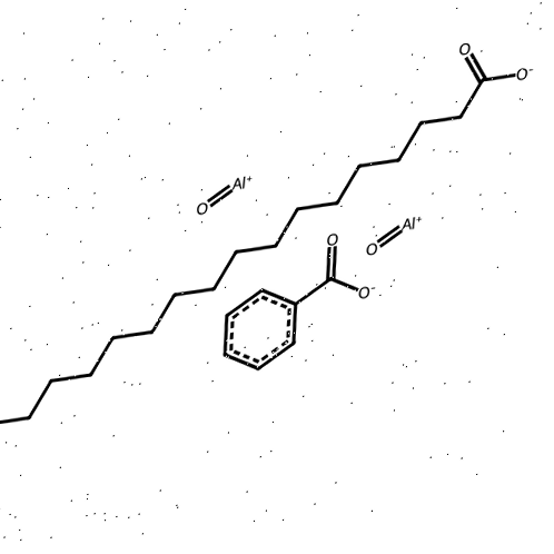 CCCCCCCCCCCCCCCCCC(=O)[O-].O=C([O-])c1ccccc1.[O]=[Al+].[O]=[Al+]